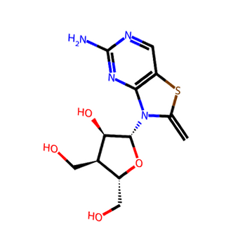 C=C1Sc2cnc(N)nc2N1[C@@H]1O[C@H](CO)[C@@H](CO)[C@H]1O